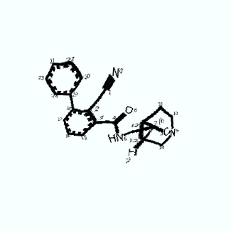 N#Cc1c(C(=O)N[C@H]2CN3CCC2CC3)cccc1-c1ccccc1